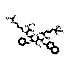 CNC(=O)[C@H](CCCCNC(C)=O)NC(=O)[C@@H](Cc1ccccc1)N(C)C(=O)[C@@H](Cc1ccc2ccccc2c1)N(C)C(=O)/C=C/CC(C)(C)N